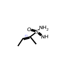 C/C=C(\C)S(=N)(N)=O